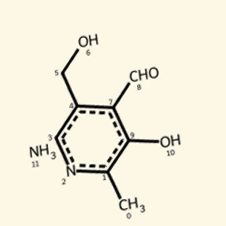 Cc1ncc(CO)c(C=O)c1O.N